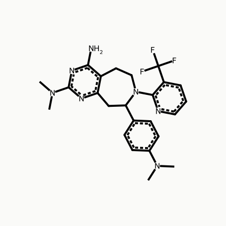 CN(C)c1ccc(C2Cc3nc(N(C)C)nc(N)c3CCN2c2ncccc2C(F)(F)F)cc1